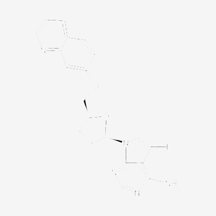 Nc1ncnc2c1c(F)cn2[C@H]1CC[C@@H](COc2ccc3cccnc3c2)O1